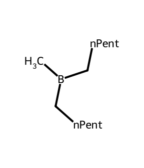 CCCCCCB(C)CCCCCC